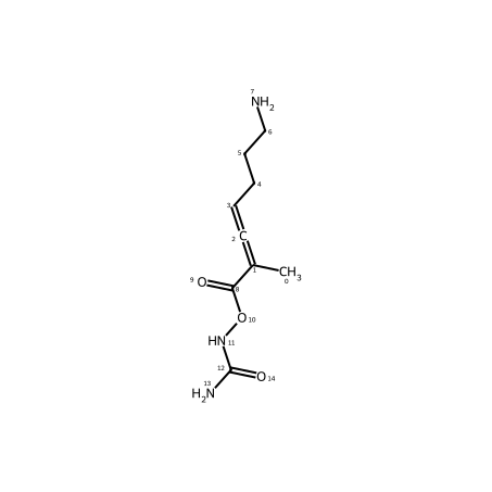 CC(=C=CCCCN)C(=O)ONC(N)=O